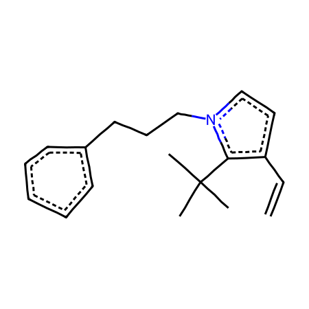 C=Cc1ccn(CCCc2ccccc2)c1C(C)(C)C